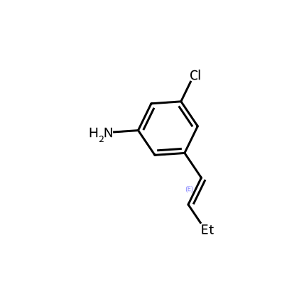 CC/C=C/c1cc(N)cc(Cl)c1